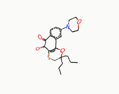 CCCC1(CCC)CSC2=C(O1)c1cc(N3CCOCC3)ccc1C(=O)C2=O